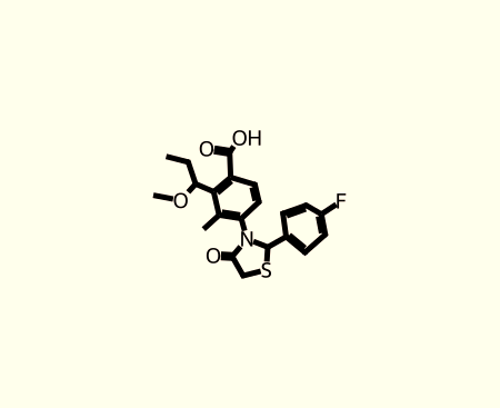 CCC(OC)c1c(C(=O)O)ccc(N2C(=O)CSC2c2ccc(F)cc2)c1C